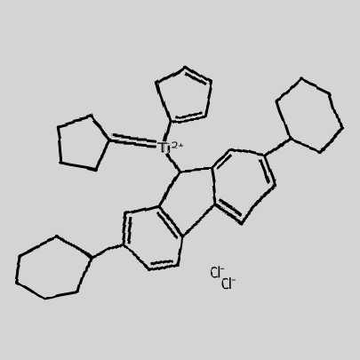 C1=CC[C]([Ti+2](=[C]2CCCC2)[CH]2c3cc(C4CCCCC4)ccc3-c3ccc(C4CCCCC4)cc32)=C1.[Cl-].[Cl-]